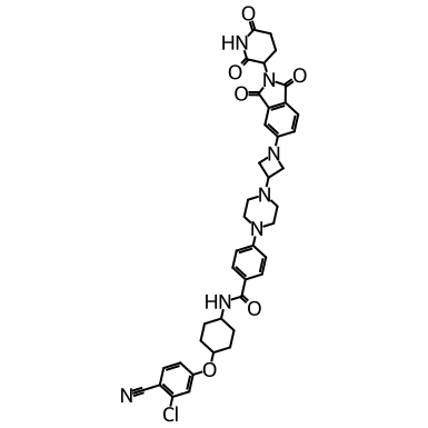 N#Cc1ccc(OC2CCC(NC(=O)c3ccc(N4CCN(C5CN(c6ccc7c(c6)C(=O)N(C6CCC(=O)NC6=O)C7=O)C5)CC4)cc3)CC2)cc1Cl